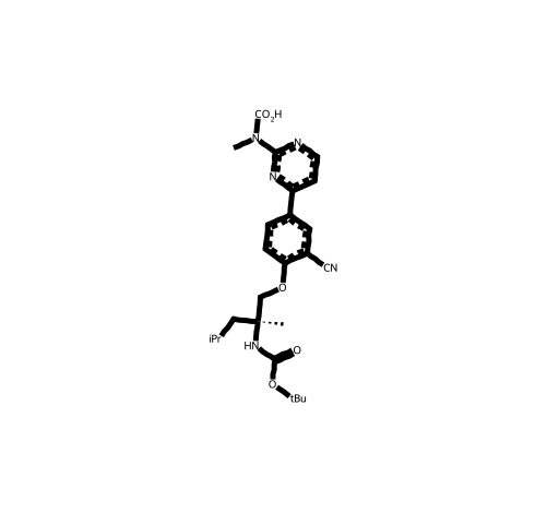 CC(C)C[C@@](C)(COc1ccc(-c2ccnc(N(C)C(=O)O)n2)cc1C#N)NC(=O)OC(C)(C)C